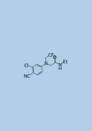 CCNC(=O)CN(CC(F)(F)F)c1ccc(C#N)c(Cl)c1